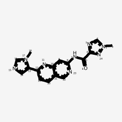 Cn1cnc(C(=O)Nc2cc3nc(-c4cncn4C)ccc3cn2)n1